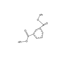 CCCOC(=O)c1cccc(C(=O)OCCC)c1